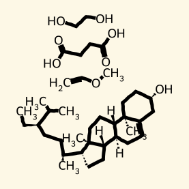 C=COC.CC[C@H](CC[C@@H](C)[C@H]1CC[C@H]2[C@@H]3CC=C4C[C@@H](O)CC[C@]4(C)[C@H]3CC[C@]12C)C(C)C.O=C(O)CCC(=O)O.OCCO